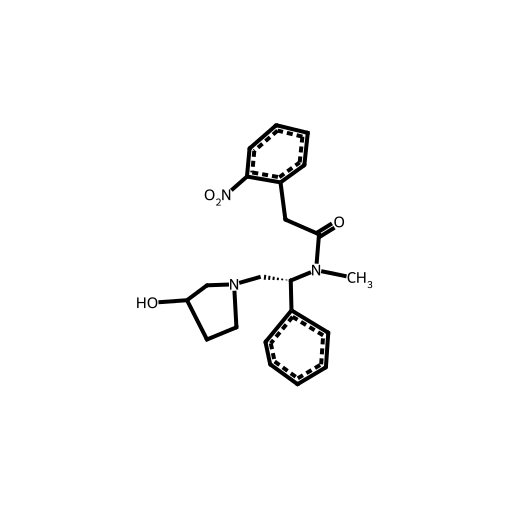 CN(C(=O)Cc1ccccc1[N+](=O)[O-])[C@@H](CN1CCC(O)C1)c1ccccc1